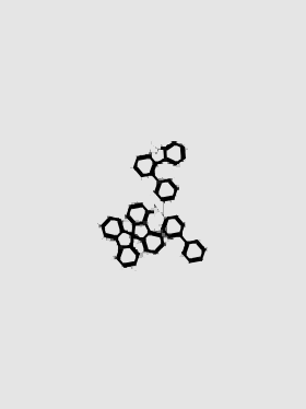 c1ccc(-c2ccc(N(c3cccc(-c4cccc5sc6ccccc6c45)c3)c3cccc4c3-c3ccccc3C43c4ccccc4-c4ccccc43)cc2)cc1